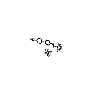 Cn1cc[n+](C)c1/N=N/c1ccc(N2CCC(O)CC2)cc1.[O-][Cl+3]([O-])([O-])[O-]